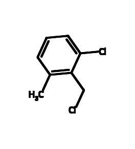 Cc1cccc(Cl)c1CCl